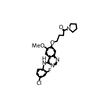 COc1cc2c(Nc3ccc(Cl)cc3F)ncnc2cc1OCCCC(=O)N1CCCC1